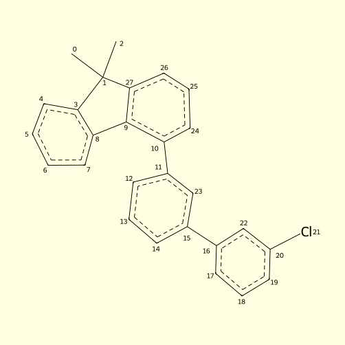 CC1(C)c2ccccc2-c2c(-c3cccc(-c4cccc(Cl)c4)c3)cccc21